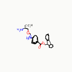 N[C@@H](COCNc1ccc(C(=O)OCC2c3ccccc3-c3ccccc32)cc1)C(=O)O